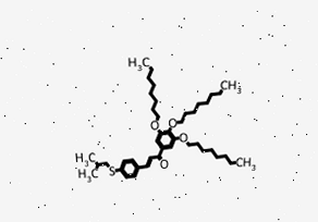 CCCCCCCCOc1cc(C(=O)C=Cc2ccc(SCC(C)C)cc2)cc(OCCCCCCCC)c1OCCCCCCCC